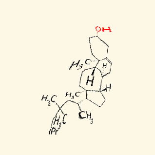 CC(C)CC(C)(C)CC(C)[C@H]1CC[C@H]2[C@@H]3CC=C4C[C@@H](O)CC[C@]4(C)[C@H]3CC[C@]12C